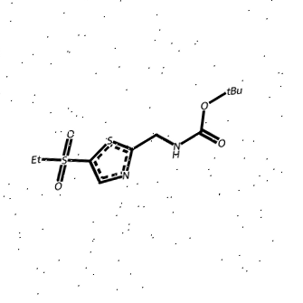 CCS(=O)(=O)c1cnc(CNC(=O)OC(C)(C)C)s1